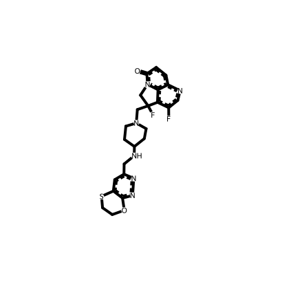 O=c1ccc2ncc(F)c3c2n1CC3(F)CN1CCC(NCc2cc3c(nn2)OCCS3)CC1